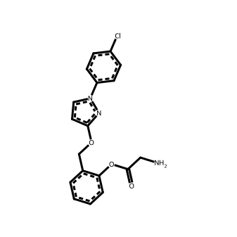 NCC(=O)Oc1ccccc1COc1ccn(-c2ccc(Cl)cc2)n1